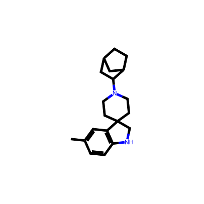 Cc1ccc2c(c1)C1(CCN(C3CC4CCC3C4)CC1)CN2